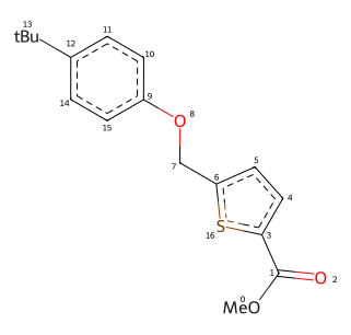 COC(=O)c1ccc(COc2ccc(C(C)(C)C)cc2)s1